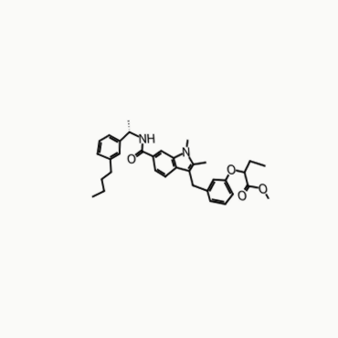 CCCCc1cccc([C@H](C)NC(=O)c2ccc3c(Cc4cccc(OC(CC)C(=O)OC)c4)c(C)n(C)c3c2)c1